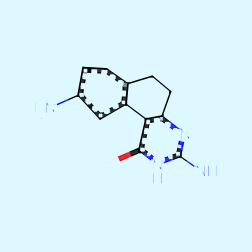 Nc1ccc2c(c1)-c1c(nc(N)[nH]c1=O)CC2